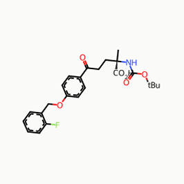 CC(C)(C)OC(=O)N[C@@](C)(CCC(=O)c1ccc(OCc2ccccc2F)cc1)C(=O)O